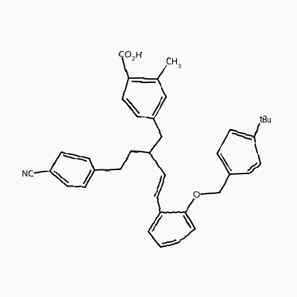 Cc1cc(CC(C=Cc2ccccc2OCc2ccc(C(C)(C)C)cc2)CCc2ccc(C#N)cc2)ccc1C(=O)O